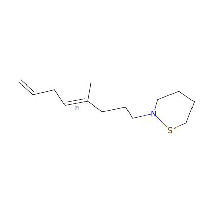 C=CC/C=C(\C)CCCN1CCCCS1